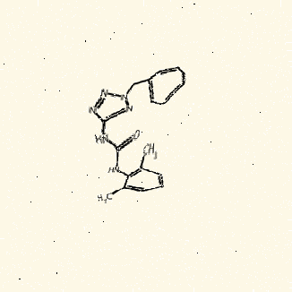 Cc1cccc(C)c1NC(=O)Nc1nnn(Cc2ccccc2)n1